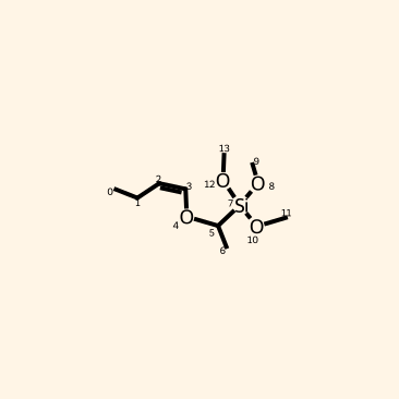 CC/C=C\OC(C)[Si](OC)(OC)OC